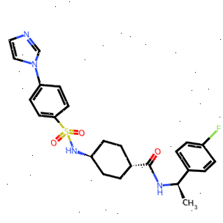 C[C@@H](NC(=O)[C@H]1CC[C@H](NS(=O)(=O)c2ccc(-n3ccnc3)cc2)CC1)c1ccc(F)cc1